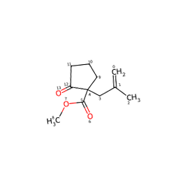 C=C(C)CC1(C(=O)OC)CCCC1=O